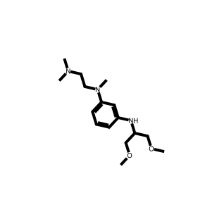 COCC(COC)Nc1[c]ccc(N(C)CCN(C)C)c1